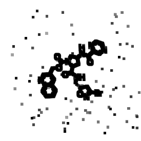 O=C(NC1CC(C(=O)NC[C@@H]2CC(Br)=NO2)N(C(=O)OCc2cnc3ccccc3c2)C1)c1cnccn1